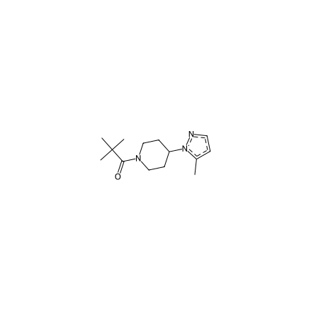 Cc1ccnn1C1CCN(C(=O)C(C)(C)C)CC1